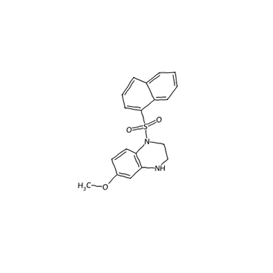 COc1ccc2c(c1)NCCN2S(=O)(=O)c1cccc2ccccc12